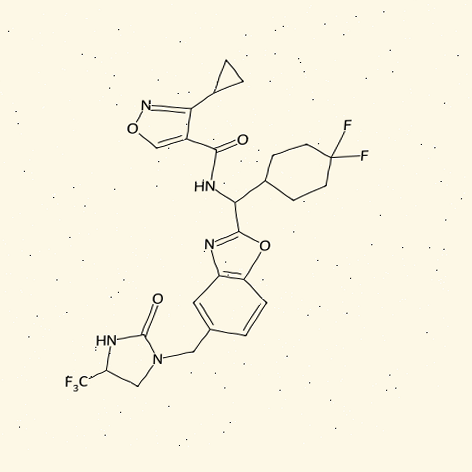 O=C(NC(c1nc2cc(CN3CC(C(F)(F)F)NC3=O)ccc2o1)C1CCC(F)(F)CC1)c1conc1C1CC1